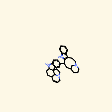 C1=CC2CCC3Nc4ccc(C5CC6CCCN(CCc7c5[nH]c5ccccc75)C6)cc4C34CCN(C1)C24